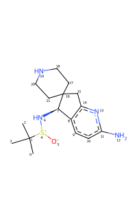 CC(C)(C)[S+]([O-])N[C@@H]1c2ccc(N)nc2CC12CCNCC2